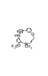 CN1C/C=C/CCOc2cccc(c2)-c2ccnc(n2)Nc2ccc(OC(F)(F)F)c(c2)C1